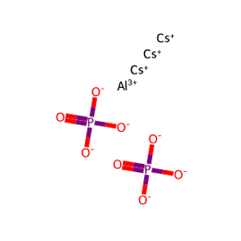 O=P([O-])([O-])[O-].O=P([O-])([O-])[O-].[Al+3].[Cs+].[Cs+].[Cs+]